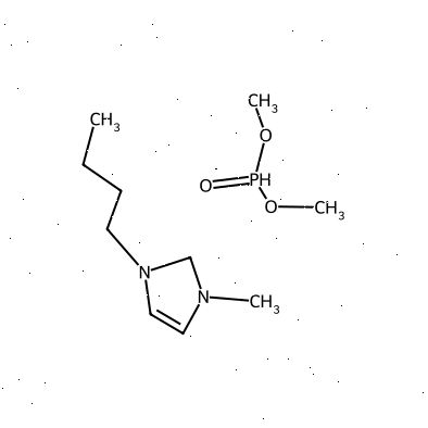 CCCCN1C=CN(C)C1.CO[PH](=O)OC